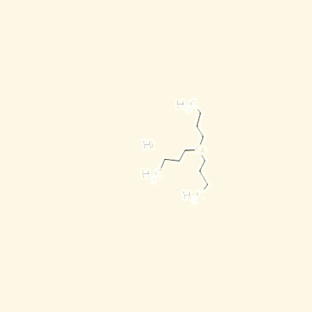 CCCC[Si](CCCC)CCCC.I